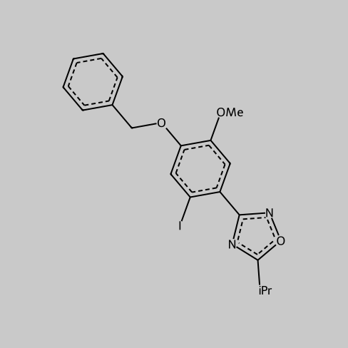 COc1cc(-c2noc(C(C)C)n2)c(I)cc1OCc1ccccc1